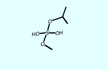 CO[Si](O)(O)OC(C)C